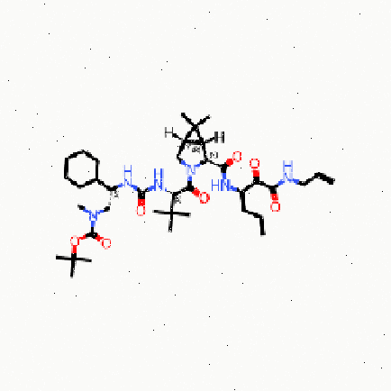 C=CCNC(=O)C(=O)C(CCC)NC(=O)[C@@H]1[C@@H]2[C@H](CN1C(=O)[C@@H](NC(=O)N[C@H](CN(C)C(=O)OC(C)(C)C)C1CCCCC1)C(C)(C)C)C2(C)C